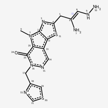 Cn1c2nc(C/C(N)=C/NN)sc2c2cnn(Cc3cscn3)c(=O)c21